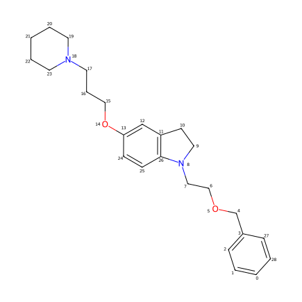 c1ccc(COCCN2CCc3cc(OCCCN4CCCCC4)ccc32)cc1